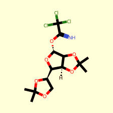 CC1(C)OC2[C@@H](OC(=N)C(Cl)(Cl)Cl)OC([C@H]3COC(C)(C)O3)[C@@H]2O1